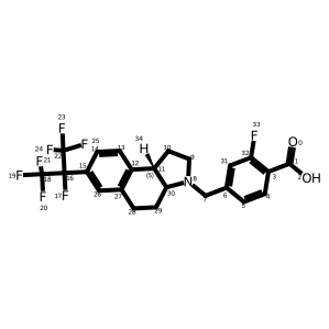 O=C(O)c1ccc(CN2CC[C@H]3c4ccc(C(F)(C(F)(F)F)C(F)(F)F)cc4CCC32)cc1F